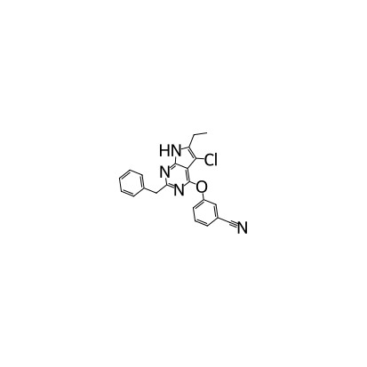 CCc1[nH]c2nc(Cc3ccccc3)nc(Oc3cccc(C#N)c3)c2c1Cl